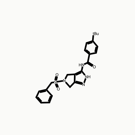 CC(C)(C)c1ccc(C(=O)Nc2[nH]nc3c2CN(S(=O)(=O)Cc2ccccc2)C3)cc1